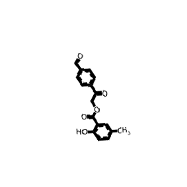 Cc1ccc(O)c(C(=O)OCC(=O)c2ccc(C=O)cc2)c1